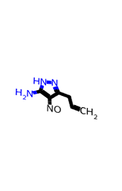 C=CCc1n[nH]c(N)c1N=O